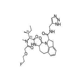 CC[C@H](C)[C@@H](C(=O)NC1CCc2cccc3c2N(C1=O)C(C(=O)NCc1cnn[nH]1)C3)N(C)C(=O)COCCF